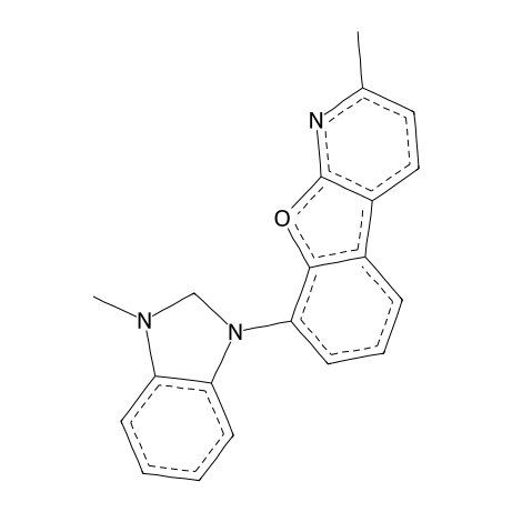 Cc1ccc2c(n1)oc1c(N3CN(C)c4ccccc43)cccc12